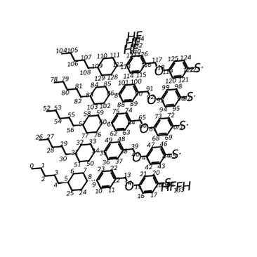 CCCCC[C@H]1CC[C@H](c2ccc(COc3ccc([S])cc3)cc2)CC1.CCCCC[C@H]1CC[C@H](c2ccc(COc3ccc([S])cc3)cc2)CC1.CCCCC[C@H]1CC[C@H](c2ccc(COc3ccc([S])cc3)cc2)CC1.CCCCC[C@H]1CC[C@H](c2ccc(COc3ccc([S])cc3)cc2)CC1.CCCCC[C@H]1CC[C@H](c2ccc(COc3ccc([S])cc3)cc2)CC1.F.F.F.F.F